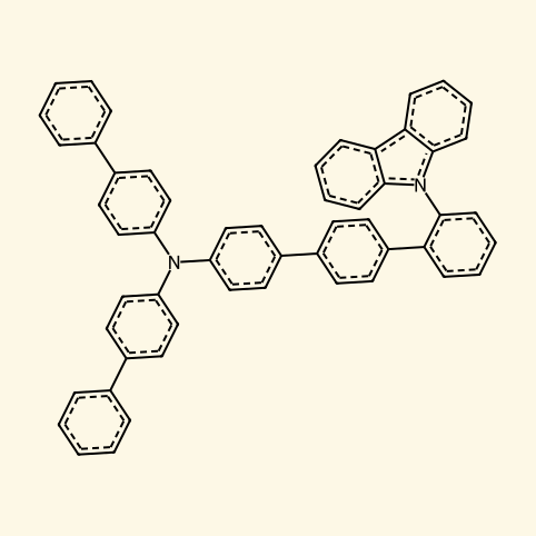 c1ccc(-c2ccc(N(c3ccc(-c4ccccc4)cc3)c3ccc(-c4ccc(-c5ccccc5-n5c6ccccc6c6ccccc65)cc4)cc3)cc2)cc1